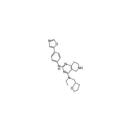 CCN(CC1CCCO1)c1nc(Nc2ccc(-c3cnco3)cc2)nc2c1CNCC2